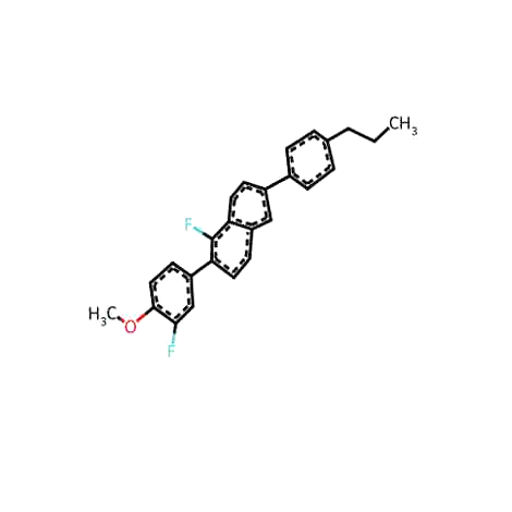 CCCc1ccc(-c2ccc3c(F)c(-c4ccc(OC)c(F)c4)ccc3c2)cc1